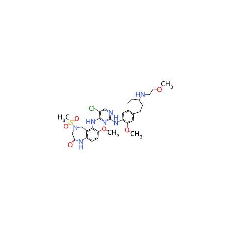 COCCNC1CCc2cc(Nc3ncc(Cl)c(Nc4c(OC)ccc5c4CN(S(C)(=O)=O)CC(=O)N5)n3)c(OC)cc2CC1